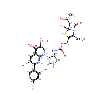 C[C@@H](O)[C@@H]1C(=O)N2C(C(=O)O)=C(COC(=O)NC3CNC[C@@H]3n3cc(C(=O)O)c(=O)c4cc(F)c(-c5ccc(F)cc5F)nc43)S[C@H]12